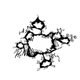 Nc1ccccc1-c1c2nc(c(-c3ccccc3N)c3ccc([nH]3)c(-c3ccccc3N)c3nc(c(-c4ccccc4N)c4ccc1[nH]4)C=C3)C=C2.[Fe]